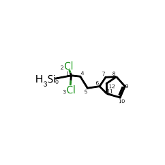 [SiH3]C(Cl)(Cl)CCC1CC2C=CC1C2